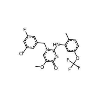 COc1cn(Cc2cc(F)cc(Cl)c2)c(Nc2cc(OC(F)(F)F)ccc2C)nc1=O